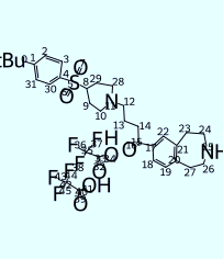 CC(C)(C)c1ccc(S(=O)(=O)C2CCN(CCCC(=O)c3ccc4c(c3)CCNCC4)CC2)cc1.O=C(O)C(F)(F)F.O=C(O)C(F)(F)F